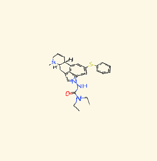 CCN(CC)C(=O)Nn1cc2c3c(cc(Sc4ccccc4)cc31)[C@H]1CCCN(C)[C@@H]1C2